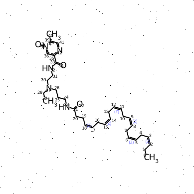 CC/C=C\C/C=C\C/C=C\C/C=C\C/C=C\C/C=C\CCC(=O)NCCCN(CC)CCNC(=O)c1c[n+]([O-])c(C)cn1